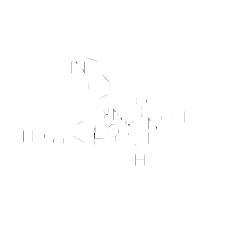 COc1ccc(S(=O)(=O)N(Cc2ccc3[nH]ccc3c2)[C@@H](C(=O)NO)C(C)C)cc1